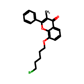 Cc1c(-c2ccccc2)oc2c(OCCCCCBr)cccc2c1=O